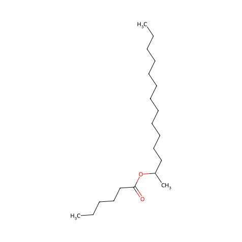 CCCCCCCCCCCCC(C)OC(=O)CCCCC